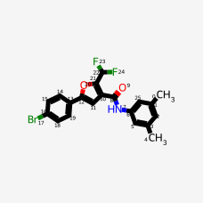 Cc1cc(C)cc(NC(=O)c2cc(-c3ccc(Br)cc3)oc2C(F)F)c1